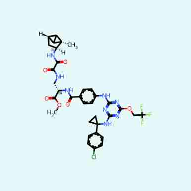 COC(=O)[C@H](CNC(=O)C(=O)N[C@H]1C[C@H]2C3C2[C@]31C)NC(=O)c1ccc(Nc2nc(NC3(c4ccc(Cl)cc4)CC3)nc(OCC(F)(F)F)n2)cc1